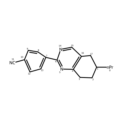 CCCC1CCc2nc(-c3ccc(C#N)cc3)ncc2C1